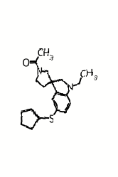 CCN1CC2(CCN(C(C)=O)C2)c2cc(SC3CCCC3)ccc21